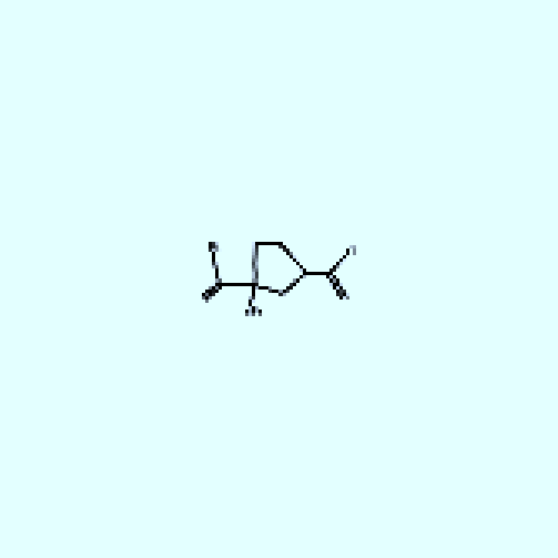 C=C(Cl)C1CCC(CCC)(C(=C)CC)C1